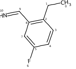 CCc1ccc(F)cc1C=N